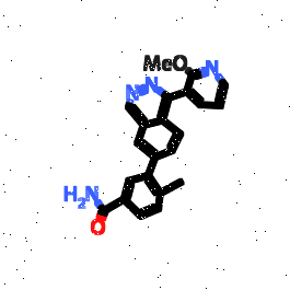 COc1ncccc1-c1nncc2cc(-c3cc(C(N)=O)ccc3C)ccc12